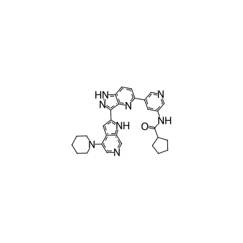 O=C(Nc1cncc(-c2ccc3[nH]nc(-c4cc5c(N6CCCCC6)cncc5[nH]4)c3n2)c1)C1CCCC1